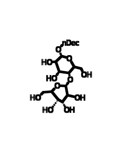 CCCCCCCCCCO[C@@H]1OC(CO)[C@H](O[C@@H]2OC(CO)[C@@H](O)[C@@H](O)C2O)[C@@H](O)C1O